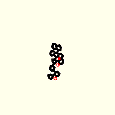 c1cc(-c2ccc(-c3c4ccccc4c(-c4cccc5ccccc45)c4ccccc34)c3c2oc2ccccc23)cc(-c2cccc3oc4ccccc4c23)c1